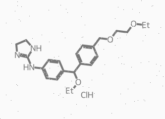 CCOCCOCc1ccc(C(OCC)c2ccc(NC3=NCCN3)cc2)cc1.Cl